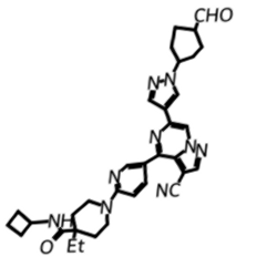 CCC1(C(=O)NC2CCC2)CCN(c2ccc(-c3nc(-c4cnn(C5CCC(C=O)CC5)c4)cn4ncc(C#N)c34)cn2)CC1